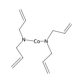 C=CC[N](CC=C)[Co][N](CC=C)CC=C